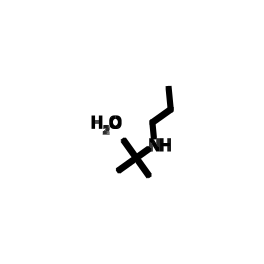 CCCNC(C)(C)C.O